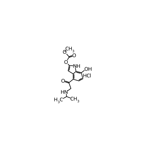 COC(=O)Oc1cc2c(C(=O)CNC(C)C)ccc(O)c2[nH]1.Cl